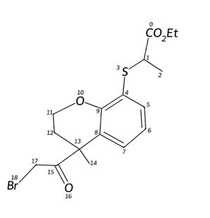 CCOC(=O)C(C)Sc1cccc2c1OCCC2(C)C(=O)CBr